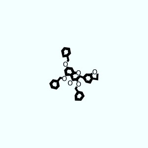 O=c1c(OCc2ccccc2)c(-c2ccc3c(c2)OCC3)oc2cc(OCc3ccccc3)cc(OCc3ccccc3)c12